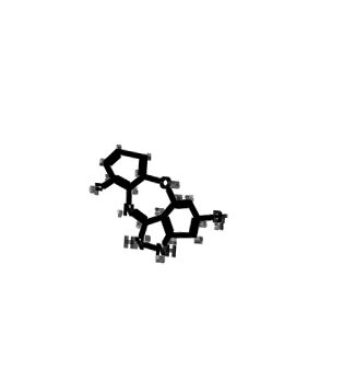 Fc1cccc2c1N=C1NNc3cc(Br)cc(c31)O2